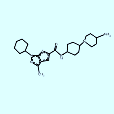 Cc1nn(C2CCCCC2)c2sc(C(=O)NC3CCC(N4CCC(N)CC4)CC3)cc12